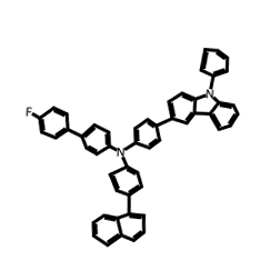 Fc1ccc(-c2ccc(N(c3ccc(-c4ccc5c(c4)c4ccccc4n5-c4ccccc4)cc3)c3ccc(-c4cccc5ccccc45)cc3)cc2)cc1